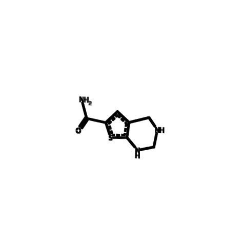 NC(=O)c1cc2c(s1)NCNC2